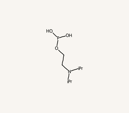 CC(C)N(CCOP(O)O)C(C)C